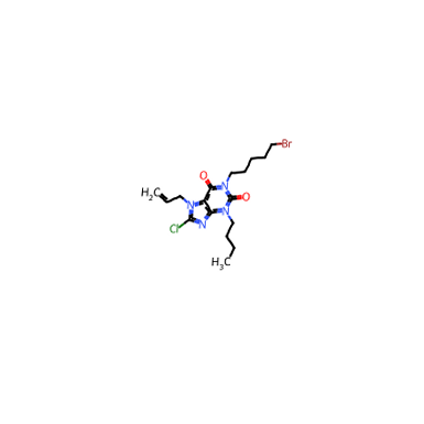 C=CCn1c(Cl)nc2c1c(=O)n(CCCCCBr)c(=O)n2CCCC